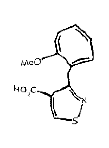 COc1ccccc1-c1nscc1C(=O)O